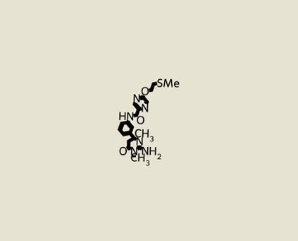 CSCCOc1cnc(C(=O)Nc2cccc(C3(C)CC(=O)N(C)C(N)=N3)c2)cn1